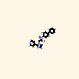 O=C(Cn1ccnc1-c1ccncc1)Nc1ccc(-c2ccccc2)cc1